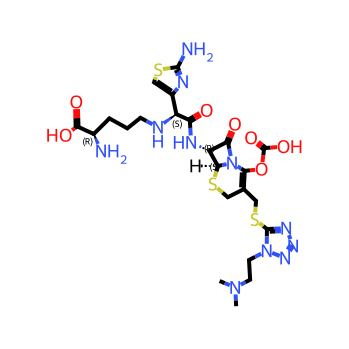 CN(C)CCn1nnnc1SCC1=C(OC(=O)O)N2C(=O)[C@@H](NC(=O)[C@@H](NCCC[C@@H](N)C(=O)O)c3csc(N)n3)[C@@H]2SC1